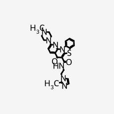 Cc1nccn1CCNC(=O)c1c(=O)c2ccc(N3CCN(C)CC3)nc2n2c1sc1ccccc12